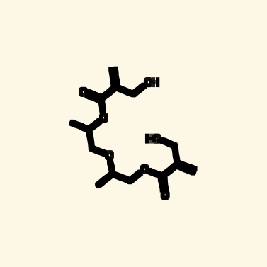 C=C(CO)C(=O)OCC(C)OCC(C)OC(=O)C(=C)CO